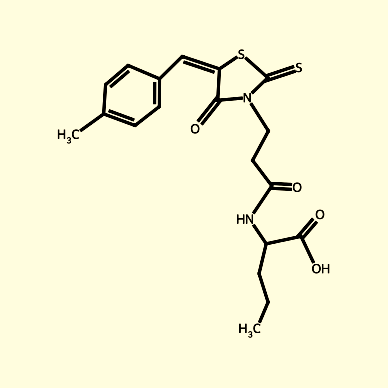 CCCC(NC(=O)CCN1C(=O)/C(=C\c2ccc(C)cc2)SC1=S)C(=O)O